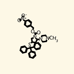 CN1CCN(C2CC(SC(c3ccccc3)(c3ccccc3)c3ccccc3)CN2C(=O)OCc2ccc([N+](=O)[O-])cc2)CC1